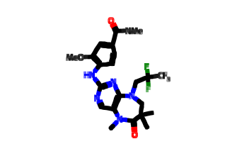 CNC(=O)c1ccc(Nc2ncc3c(n2)N(CC(F)(F)C(F)(F)F)CC(C)(C)C(=O)N3C)c(OC)c1